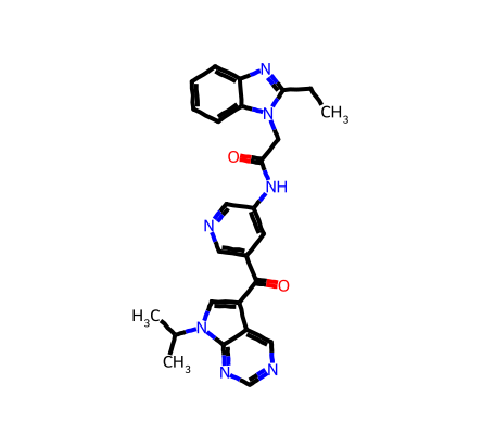 CCc1nc2ccccc2n1CC(=O)Nc1cncc(C(=O)c2cn(C(C)C)c3ncncc23)c1